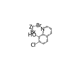 Oc1c(Cl)ccc2cccnc12.[Br][Zr][Br]